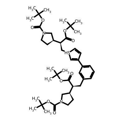 CC(C)(C)OC(=O)[C@@H](Cc1cccc(C2=C[SH](C[C@H](C(=O)OC(C)(C)C)[C@H]3CCN(C(=O)OC(C)(C)C)C3)C=C2)c1)[C@H]1CCN(C(=O)OC(C)(C)C)C1